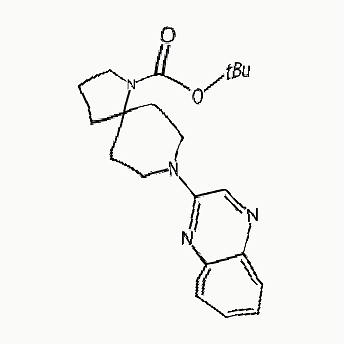 CC(C)(C)OC(=O)N1CCCC12CCN(c1cnc3ccccc3n1)CC2